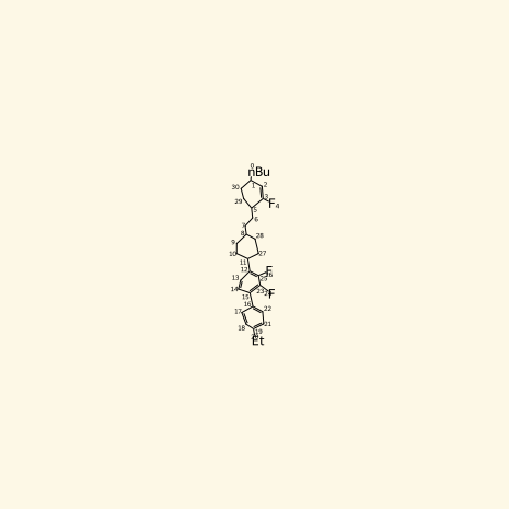 CCCCC1C=C(F)C(CCC2CCC(c3ccc(-c4ccc(CC)cc4)c(F)c3F)CC2)CC1